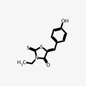 CCN1C(=O)C(=Cc2ccc(O)cc2)SC1=S